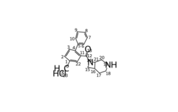 Cc1ccc(-c2ccccc2)c(C(=O)N2CC3CCNCC32)c1.Cl